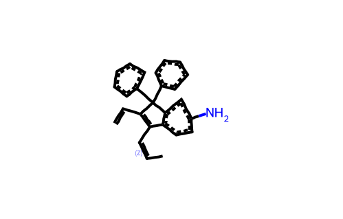 C=CC1=C(/C=C\C)c2ccc(N)cc2C1(c1ccccc1)c1ccccc1